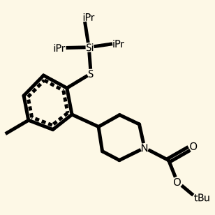 Cc1ccc(S[Si](C(C)C)(C(C)C)C(C)C)c(C2CCN(C(=O)OC(C)(C)C)CC2)c1